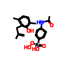 C=C(C)Cc1c(C)ccc(C)c1O.CC(=O)Nc1ccc([As](=O)(O)OO)cc1